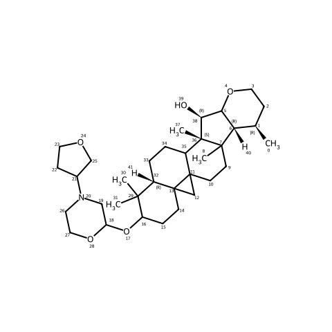 C[C@@H]1CCOC2[C@H]1C1(C)CCC34CC35CCC(OC3CN(C6CCOC6)CCO3)C(C)(C)[C@@H]5CCC4[C@]1(C)[C@H]2O